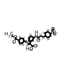 CCOC(=O)c1ccc(-n2cc(C(=O)O)c3cc(NC(=O)CCc4ccc([N+](=O)[O-])cc4)ccc32)cc1